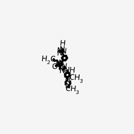 C=CCn1c(=O)c2cnc(Nc3ccc(N4CCN(C)CC4)c(C)c3)nc2n1-c1cccc(-c2nn[nH]n2)c1